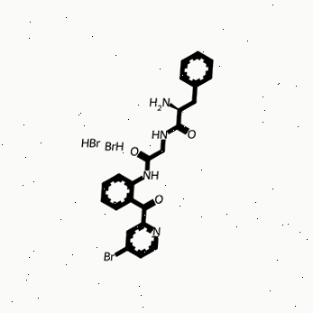 Br.Br.N[C@@H](Cc1ccccc1)C(=O)NCC(=O)Nc1ccccc1C(=O)c1cc(Br)ccn1